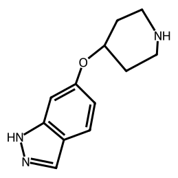 c1cc2cn[nH]c2cc1OC1CCNCC1